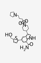 NC(=O)c1cc(-c2ccc(CO)s2)cc2c(C3CCN(S(=O)(=O)CCCN4CCCC4)CC3)c[nH]c12